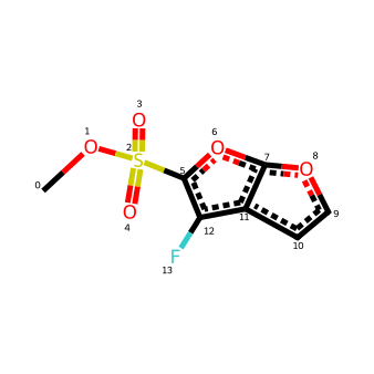 COS(=O)(=O)c1oc2occc2c1F